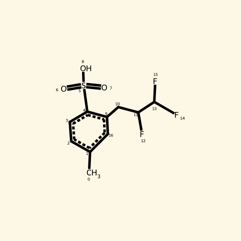 Cc1ccc(S(=O)(=O)O)c(CC(F)C(F)F)c1